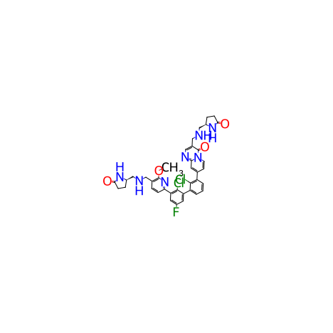 COc1nc(-c2cc(F)cc(-c3cccc(-c4ccn5c(=O)c(CNC[C@H]6CCC(=O)N6)cnc5c4)c3Cl)c2Cl)ccc1CNC[C@H]1CCC(=O)N1